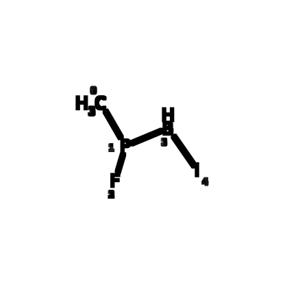 CP(F)BI